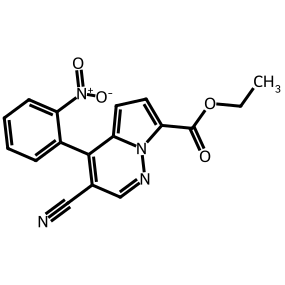 CCOC(=O)c1ccc2c(-c3ccccc3[N+](=O)[O-])c(C#N)cnn12